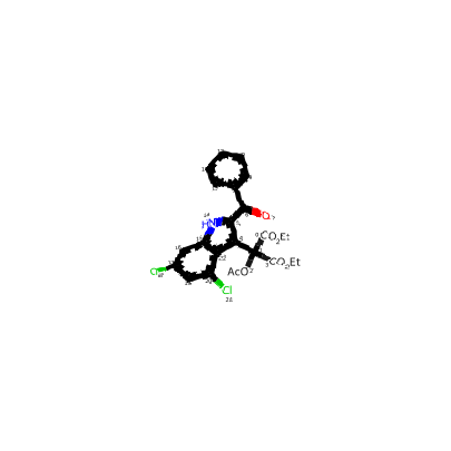 CCOC(=O)C(OC(C)=O)(C(=O)OCC)c1c(C(=O)c2ccccc2)[nH]c2cc(Cl)cc(Cl)c12